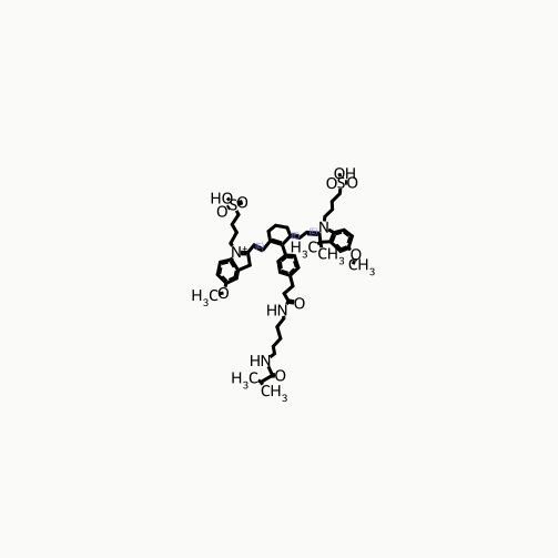 COc1ccc2c(c1)CC(/C=C/C1=C(c3ccc(CCC(=O)NCCCCCNC(=O)C(C)C)cc3)C(=C/C=C3/N(CCCCS(=O)(=O)O)c4ccc(OC)cc4C3(C)C)/CCC1)=[N+]2CCCCS(=O)(=O)O